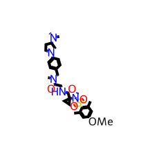 COc1cc(C)c(S(=O)(=O)N(C)C2(C(=O)NCC(=O)N(C)Cc3ccc(N4CCC(N(C)C)C4)cc3)CC2)c(C)c1